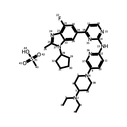 CCN(CC)C1CCN(c2ccc(Nc3nccc(-c4cc(F)c5nc(C)n(C6CCCC6)c5c4)n3)nc2)CC1.CS(=O)(=O)O